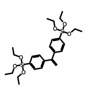 C=C(c1ccc([Si](OCC)(OCC)OCC)cc1)c1ccc([Si](OCC)(OCC)OCC)cc1